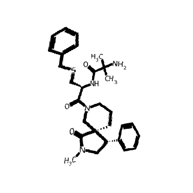 CN1C[C@@H](c2ccccc2)[C@@]2(CCCN(C(=O)[C@@H](CSCc3ccccc3)NC(=O)C(C)(C)N)C2)C1=O